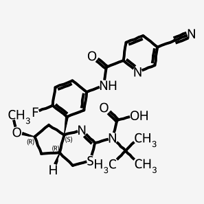 CO[C@@H]1C[C@H]2CSC(N(C(=O)O)C(C)(C)C)=N[C@@]2(c2cc(NC(=O)c3ccc(C#N)cn3)ccc2F)C1